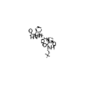 CO[C@@H]1CCN(C(=O)CNc2ccccc2C(=N)C(C)=O)[C@@H]1C(=O)NCCC(C)(C)C